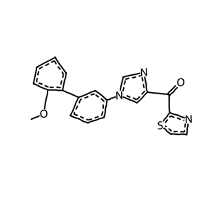 COc1ccccc1-c1cccc(-n2cnc(C(=O)c3nccs3)c2)c1